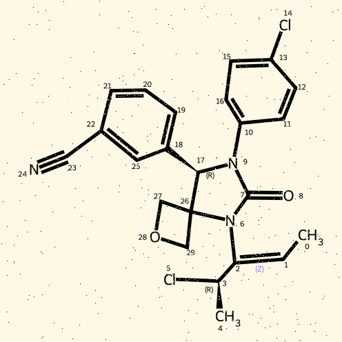 C/C=C(/[C@@H](C)Cl)N1C(=O)N(c2ccc(Cl)cc2)[C@H](c2cccc(C#N)c2)C12COC2